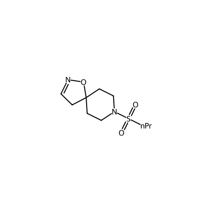 CCCS(=O)(=O)N1CCC2(CC=NO2)CC1